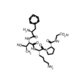 C[C@@H](O)[C@H](NC(=O)[C@@H](N)Cc1ccccc1)C(=O)N[C@@H](CCCCN)C(=O)N1CCC[C@H]1C(=O)NCC(=O)O